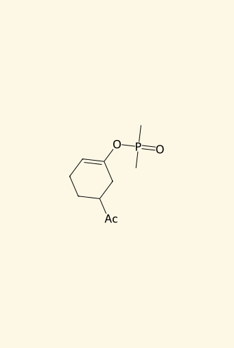 CC(=O)C1CCC=C(OP(C)(C)=O)C1